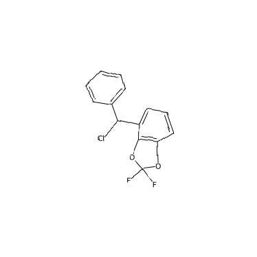 FC1(F)Oc2cccc(C(Cl)c3ccccc3)c2O1